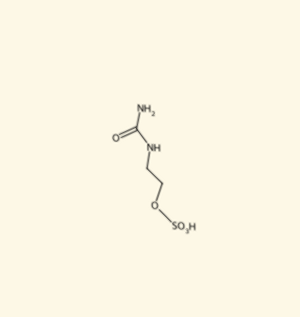 NC(=O)NCCOS(=O)(=O)O